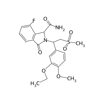 CCOc1cc(C(CS(C)(=O)=O)N2C(=O)c3[c]ccc(F)c3C2C(N)=O)ccc1OC